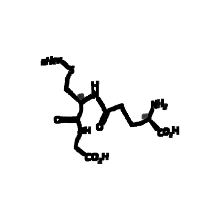 CCCCCCSC[C@@H](NC(=O)CC[C@@H](N)C(=O)O)C(=O)NCC(=O)O